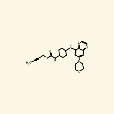 CC#CCOC(=O)NC1CCC(Nc2cc(N3CCOCC3)cc3nccnc23)CC1